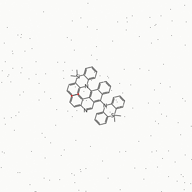 C[Si]1(C)c2ccccc2N(c2c3ccccc3c(N3c4ccccc4[Si](C)(C)c4ccccc43)c3c2cnc2ccccc23)c2ccccc21